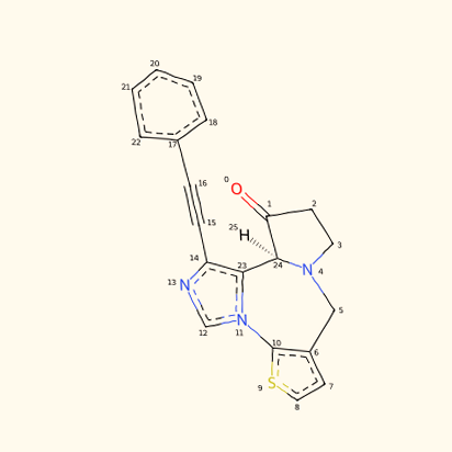 O=C1CCN2Cc3ccsc3-n3cnc(C#Cc4ccccc4)c3[C@@H]12